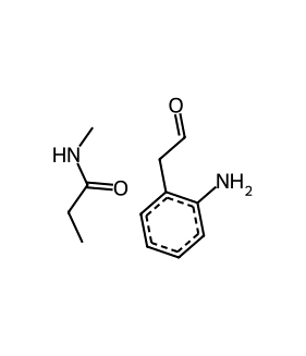 CCC(=O)NC.Nc1ccccc1CC=O